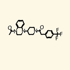 CC(=O)N1CCN(C2CCN(C(=O)Cc3ccc(C(F)(F)F)cc3)CC2)c2ccccc21